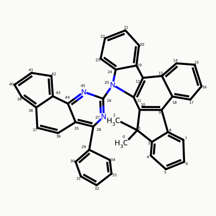 CC1(C)c2ccccc2-c2c1c1c(c3ccccc23)c2ccccc2n1-c1nc(-c2ccccc2)c2ccc3ccccc3c2n1